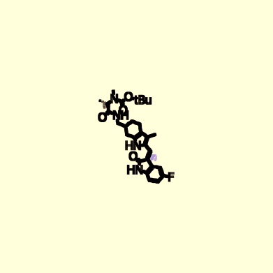 Cc1c(/C=C2\C(=O)Nc3ccc(F)cc32)[nH]c2c1CCC(CNC(=O)[C@H](C)N(C)C(=O)OC(C)(C)C)C2